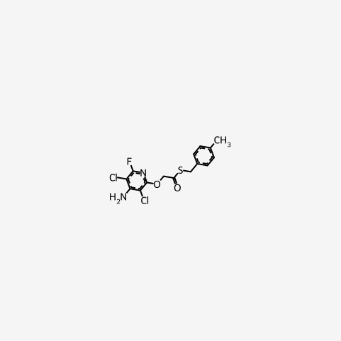 Cc1ccc(CSC(=O)COc2nc(F)c(Cl)c(N)c2Cl)cc1